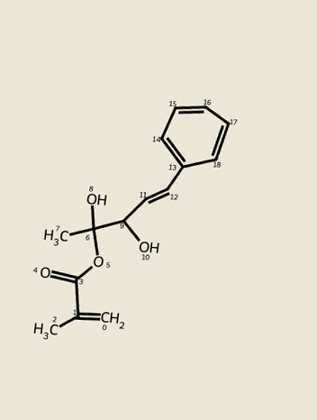 C=C(C)C(=O)OC(C)(O)C(O)C=Cc1ccccc1